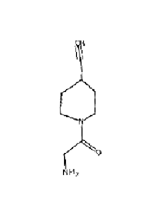 C#CC1CCN(C(=O)CN)CC1